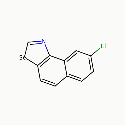 Clc1ccc2ccc3[se]cnc3c2c1